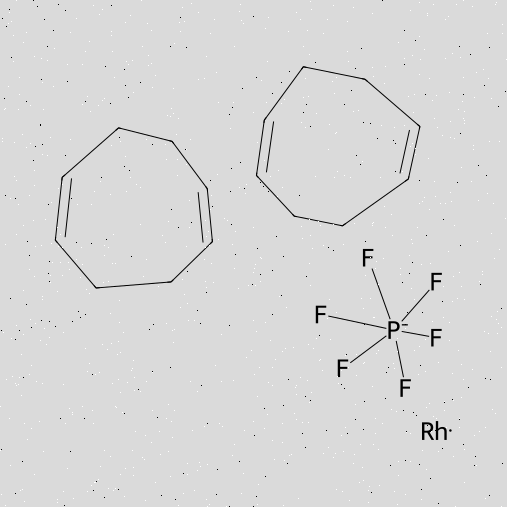 C1=C\CC/C=C\CC/1.C1=C\CC/C=C\CC/1.F[P-](F)(F)(F)(F)F.[Rh]